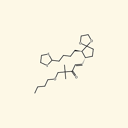 CCCCOCC(C)(C)C(=O)C=C[C@H]1CCC2(OCCO2)[C@@H]1CCCCC1SCCS1